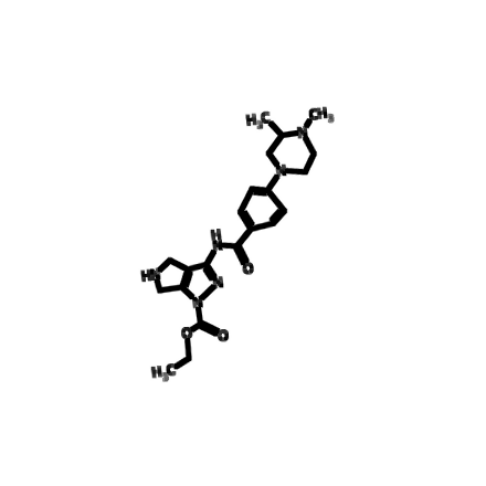 CCOC(=O)n1nc(NC(=O)c2ccc(N3CCN(C)C(C)C3)cc2)c2c1CNC2